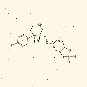 [2H]C1([2H])Oc2ccc(OC[C@@]3([2H])CNCCC3([2H])c3ccc(F)cc3)cc2O1